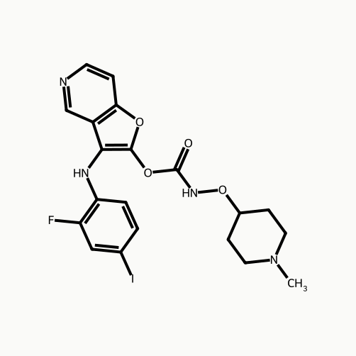 CN1CCC(ONC(=O)Oc2oc3ccncc3c2Nc2ccc(I)cc2F)CC1